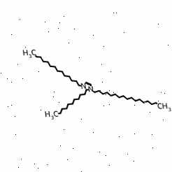 CCCCCCCCCCCCCCCCCN1C=CN(CCCCCCCCCCCCCC)C1CCCCCCCCCC